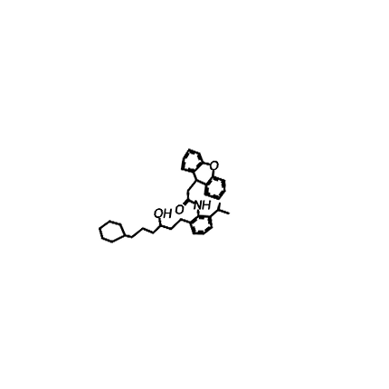 CC(C)c1cccc(CCC(O)CCCC2CCCCC2)c1NC(=O)CC1c2ccccc2Oc2ccccc21